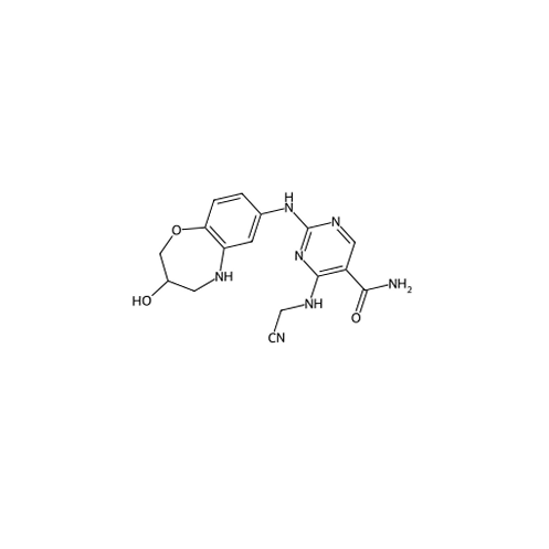 N#CCNc1nc(Nc2ccc3c(c2)NCC(O)CO3)ncc1C(N)=O